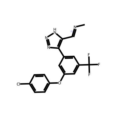 C/N=C/c1[nH]nnc1-c1cc(Oc2ccc(Cl)cc2)cc(C(F)(F)F)c1